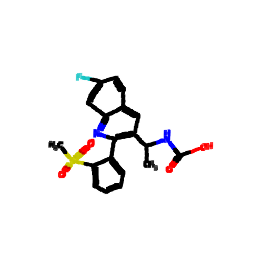 CC(NC(=O)O)c1cc2ccc(F)cc2nc1-c1ccccc1S(C)(=O)=O